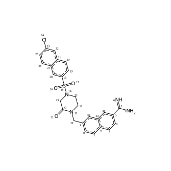 N=C(N)c1ccc2ccc(CN3CCN(S(=O)(=O)c4ccc5cc(Cl)ccc5c4)CC3=O)cc2c1